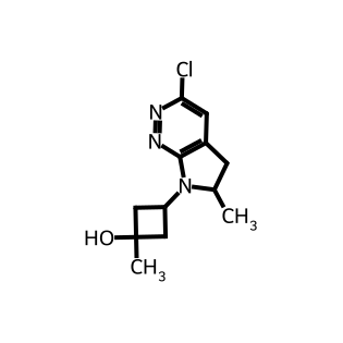 CC1Cc2cc(Cl)nnc2N1C1CC(C)(O)C1